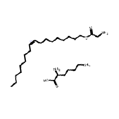 CCCCCCCC/C=C\CCCCCCCCOC(=O)CN.NCCCCC(N)C(=O)O